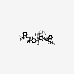 CNc1cc(NC[C@H](C)c2ccccc2)nc(NC2CCC(C(=O)NCc3ccccc3C(F)(F)F)CC2)n1